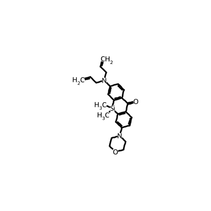 C=CCN(CC=C)c1ccc2c(c1)[Si](C)(C)c1cc(N3CCOCC3)ccc1C2=O